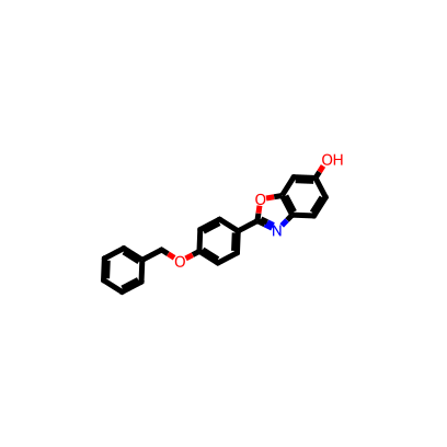 Oc1ccc2nc(-c3ccc(OCc4ccccc4)cc3)oc2c1